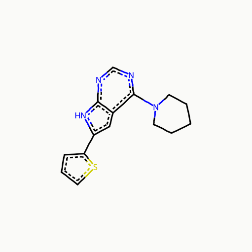 c1csc(-c2cc3c(N4CCCCC4)ncnc3[nH]2)c1